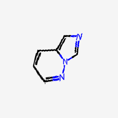 [c]1ccc2cncn2n1